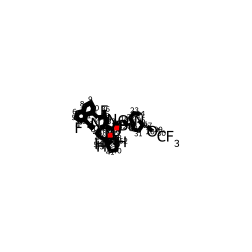 C#Cc1c(F)ccc2cccc(-c3nc4c5c(nc(OC[C@@]67CCCN6[C@H](COCC(F)(F)F)CC7)nc5c3F)N3C[C@H]5CC[C@@H]([C@H]3CC4)N5C(=O)OC(C)(C)C)c12